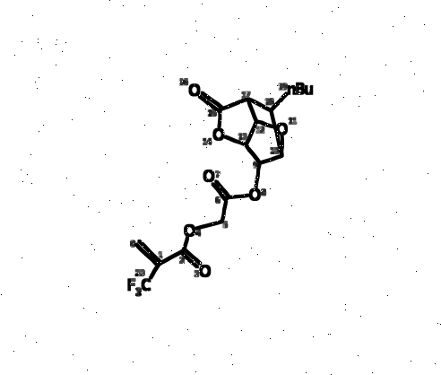 C=C(C(=O)OCC(=O)OC1C2OC3C1OC(=O)C3C2CCCC)C(F)(F)F